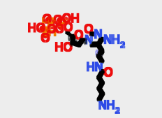 NCCCCCC(=O)NC/C=C/c1cn([C@H]2C[C@@H](O)[C@@H](COP(=O)(O)O[PH](=O)O[PH](=O)O)O2)c(=O)nc1N